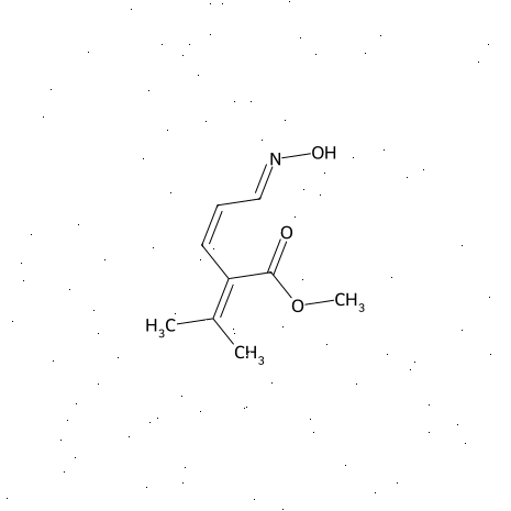 COC(=O)C(/C=C\C=N\O)=C(C)C